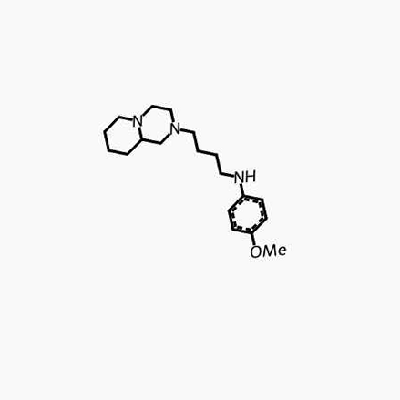 COc1ccc(NCCCCN2CCN3CCCCC3C2)cc1